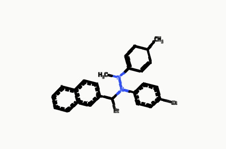 CCc1ccc(N(C(CC)c2ccc3ccccc3c2)N(C)C2=CCC(C)C=C2)cc1